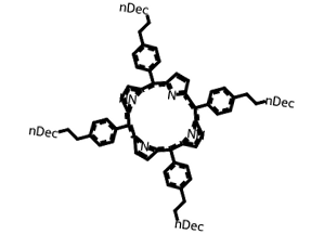 CCCCCCCCCCCCc1ccc(-c2c3nc(c(-c4ccc(CCCCCCCCCCCC)cc4)c4ccc([nH]4)c(-c4ccc(CCCCCCCCCCCC)cc4)c4nc(c(-c5ccc(CCCCCCCCCCCC)cc5)c5ccc2[nH]5)C=C4)C=C3)cc1